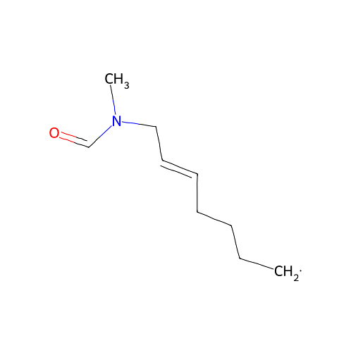 [CH2]CCCC=CCN(C)C=O